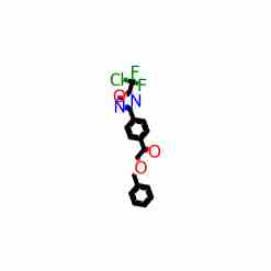 O=C(COCc1ccccc1)c1ccc(-c2noc(C(F)(F)Cl)n2)cc1